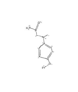 CCOc1ccc(N(C)CC(N)=O)cc1